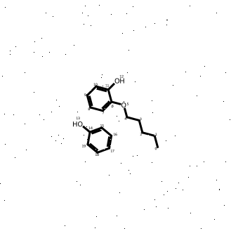 CCCCCOc1ccccc1O.Oc1ccccc1